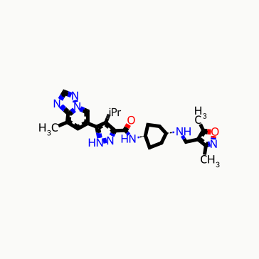 Cc1noc(C)c1CN[C@H]1CC[C@@H](NC(=O)c2n[nH]c(-c3cc(C)c4ncnn4c3)c2C(C)C)CC1